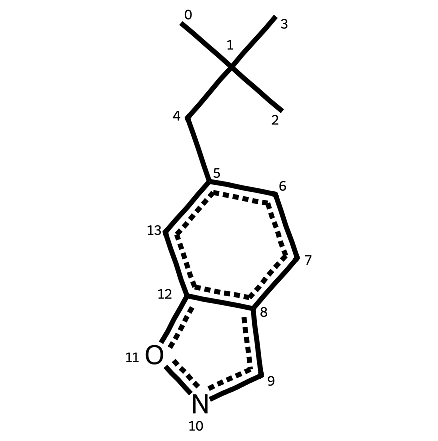 CC(C)(C)Cc1ccc2cnoc2c1